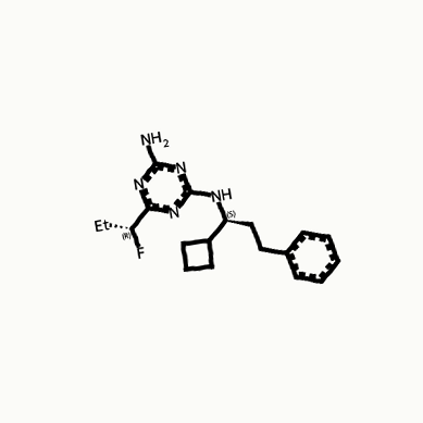 CC[C@@H](F)c1nc(N)nc(N[C@@H](CCc2ccccc2)C2CCC2)n1